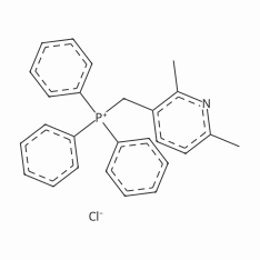 Cc1ccc(C[P+](c2ccccc2)(c2ccccc2)c2ccccc2)c(C)n1.[Cl-]